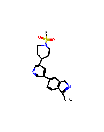 CCS(=O)(=O)N1CCC(c2cncc(-c3ccc4c(c3)CN=C4C=O)c2)CC1